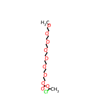 COCCOCCOCCOCCOCCOCCOCCOC(=O)OC(C)Cl